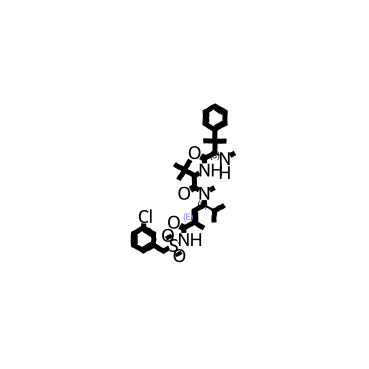 CN[C@H](C(=O)NC(C(=O)N(C)[C@H](/C=C(\C)C(=O)NS(=O)(=O)Cc1cccc(Cl)c1)C(C)C)C(C)(C)C)C(C)(C)c1ccccc1